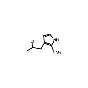 CNc1[nH]ccc1CC(C)Cl